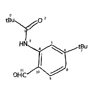 CC(C)(C)C(=O)Nc1cc(C(C)(C)C)ccc1C=O